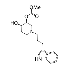 COC(=O)O[C@H]1CN(CCCc2c[nH]c3ccccc23)CC[C@H]1O